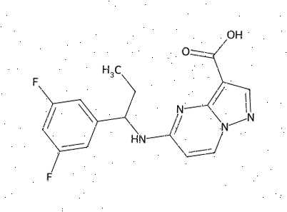 CCC(Nc1ccn2ncc(C(=O)O)c2n1)c1cc(F)cc(F)c1